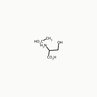 CC(=O)O.NC(CO)C(=O)O